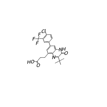 CC(C)(C)c1nc2c(CCC(=O)O)cc(-c3ccc(Cl)c(C(F)(F)F)c3)cc2[nH]c1=O